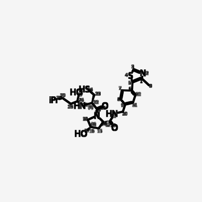 Cc1ncsc1-c1ccc(CNC(=O)[C@@H]2C[C@@H](O)CN2C(=O)[C@H](CS)NC(O)CCC(C)C)cc1